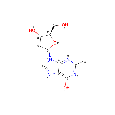 Cc1nc(O)c2ncn([C@H]3C[C@H](O)[C@@H](CO)O3)c2n1